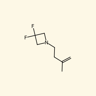 C=C(C)CCN1CC(F)(F)C1